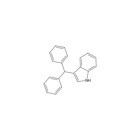 c1ccc(C(c2ccccc2)c2c[nH]c3ccccc23)cc1